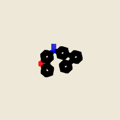 c1ccc(-c2ccccc2-c2ccc(Nc3ccc4oc5ccccc5c4c3)cc2)cc1